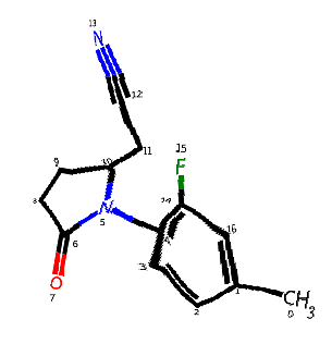 Cc1ccc(N2C(=O)CCC2CC#N)c(F)c1